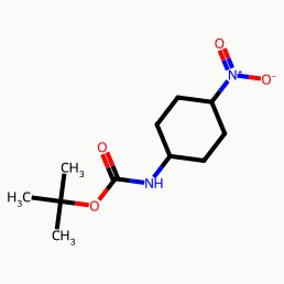 CC(C)(C)OC(=O)NC1CCC([N+](=O)[O-])CC1